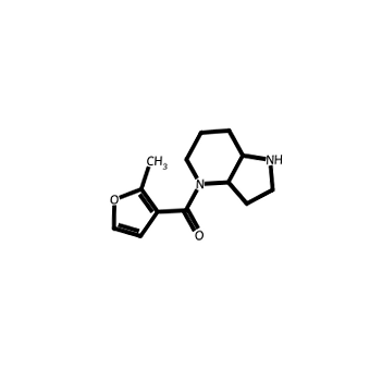 Cc1occc1C(=O)N1CCCC2NCCC21